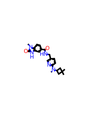 CN(c1ccc(CNC(=O)c2ccc3c(c2)[nH]c(=O)n3C)cn1)C1CC(C)(C)C1